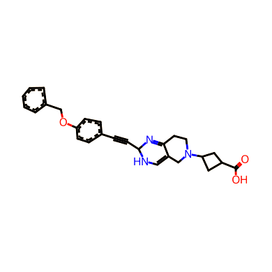 O=C(O)C1CC(N2CCC3=NC(C#Cc4ccc(OCc5ccccc5)cc4)NC=C3C2)C1